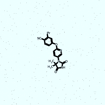 CC(C)c1cc(Oc2ccc(N3C(=O)NC(=O)C3(C)C)cn2)ccc1C#N